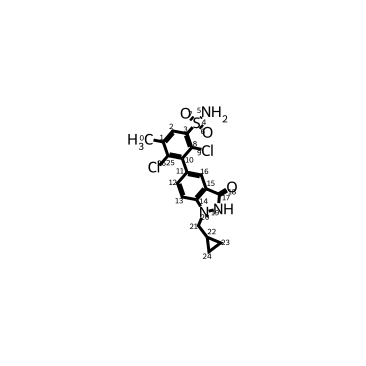 Cc1cc(S(N)(=O)=O)c(Cl)c(-c2ccc3c(c2)c(=O)[nH]n3CC2CC2)c1Cl